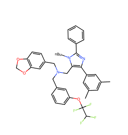 CCCCn1c(-c2ccccc2)nc(-c2cc(C)cc(C)c2)c1CN(Cc1cccc(OC(F)(F)C(F)F)c1)Cc1ccc2c(c1)OCO2